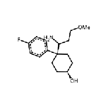 COCCC(N)[C@]1(c2ccc(F)cc2)CC[C@H](O)CC1